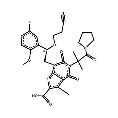 COc1ccc(F)cc1[C@H](Cn1c(=O)n(C(C)(C)C(=O)N2CCCC2)c(=O)c2c(C)c(C(=O)O)sc21)OCCC#N